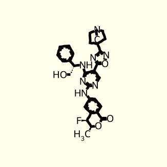 C[C@@H]1OC(=O)c2ccc(Nc3ncc(-c4nc(C56CCN(CC5)CC6)no4)c(N[C@H](CO)c4ccccc4)n3)cc2[C@@H]1F